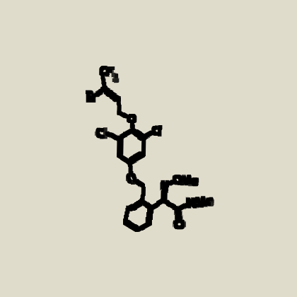 CNC(=O)C(=NOC)c1ccccc1COc1cc(Cl)c(OCC=C(Br)C(F)(F)F)c(Cl)c1